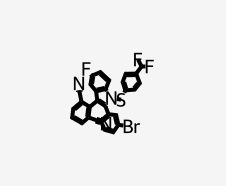 N#Cc1cccc(C#N)c1-c1c(-c2cccc(Br)c2)n(Sc2ccc(C(F)F)cc2)c2ccc(F)cc12